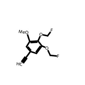 C#Cc1cc(OC)c(OCF)c(OCF)c1